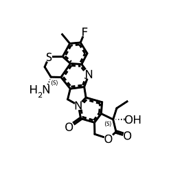 CC[C@@]1(O)C(=O)OCc2c1cc1n(c2=O)Cc2c-1nc1cc(F)c(C)c3c1c2[C@H](N)CS3